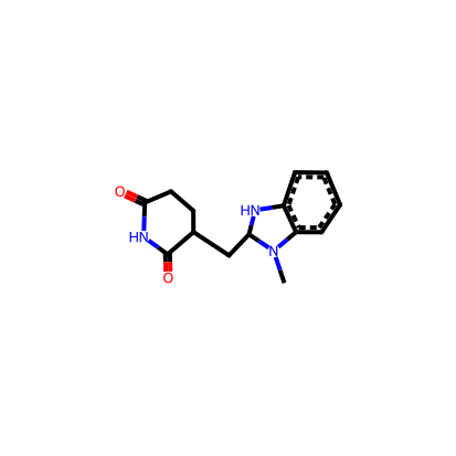 CN1c2ccccc2NC1CC1CCC(=O)NC1=O